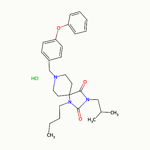 CCCCN1C(=O)N(CC(C)C)C(=O)C12CCN(Cc1ccc(Oc3ccccc3)cc1)CC2.Cl